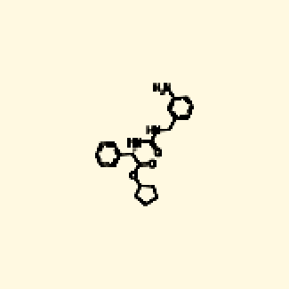 Nc1cccc(CNC(=O)N[C@H](C(=O)OC2CCCC2)c2ccccc2)c1